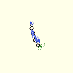 CN(C)CC1CCC(N2CCN(c3ccc(-c4ccc(Cl)c(Cl)c4)nn3)CC2)CC1